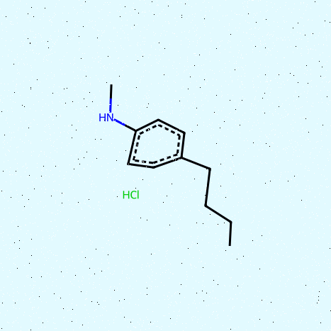 CCCCc1ccc(NC)cc1.Cl